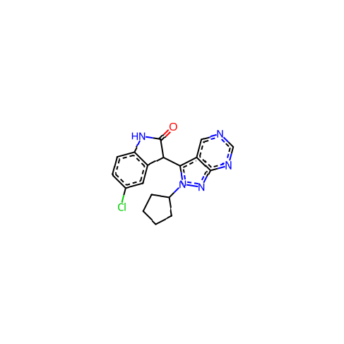 O=C1Nc2ccc(Cl)cc2C1c1c2cncnc2nn1C1CCCC1